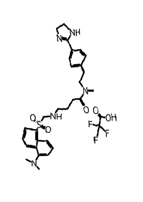 CN(CCc1ccc(C2=NCCN2)cc1)C(=O)CCCNCS(=O)(=O)c1cccc2c(N(C)C)cccc12.O=C(O)C(F)(F)F